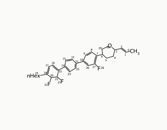 C/C=C/C1CCC(c2ccc(-c3ccc(C4=CC=C(CCCCCC)C(F)C4F)cc3)cc2F)CO1